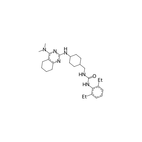 CCc1cccc(CC)c1NC(=O)NCC1CCC(Nc2nc3c(c(N(C)C)n2)CCCC3)CC1